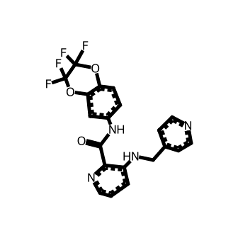 O=C(Nc1ccc2c(c1)OC(F)(F)C(F)(F)O2)c1ncccc1NCc1ccncc1